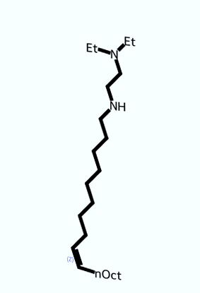 CCCCCCCC/C=C\CCCCCCCCNCCN(CC)CC